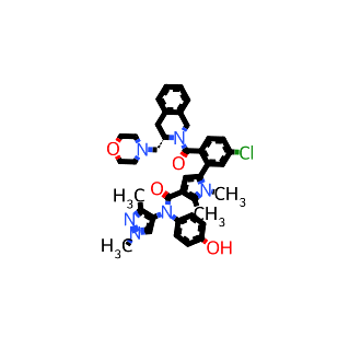 Cc1nn(C)cc1N(C(=O)c1cc(-c2cc(Cl)ccc2C(=O)N2Cc3ccccc3C[C@H]2CN2CCOCC2)n(C)c1C)c1ccc(O)cc1